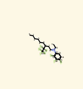 CCCCCCC(CCN(CC)c1ccc(F)c(F)c1F)C(F)(F)C(F)(F)F